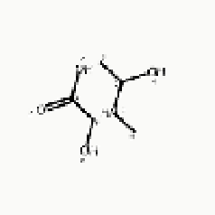 CNC(C)O.O=C(O)CO